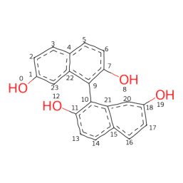 Oc1ccc2ccc(O)c(-c3c(O)ccc4ccc(O)cc34)c2c1